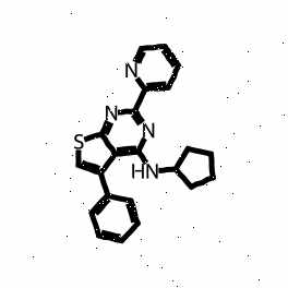 c1ccc(-c2csc3nc(-c4ccccn4)nc(NC4CCCC4)c23)cc1